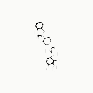 Cc1ccc(NNC(=O)N2CCC(N3Cc4ccccc4NC3=O)CC2)c(Br)c1Cl